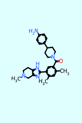 Cc1cc(C)c(-c2nc3c([nH]2)CCN(C)C3)cc1C(=O)N1CCC(c2ccc(N)cc2)CC1